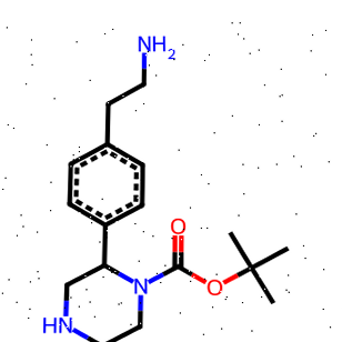 CC(C)(C)OC(=O)N1CCNCC1c1ccc(CCN)cc1